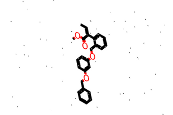 CC=C(C(=O)OC)c1ccccc1COc1cccc(OCc2ccccc2)c1